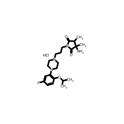 CC(C)Oc1ccc(F)cc1N1CCN(CCCN2C(=O)C(C)C(C)(N)C2=O)CC1.Cl